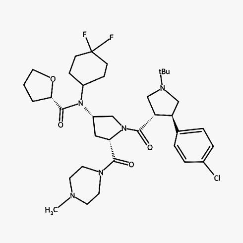 CN1CCN(C(=O)[C@@H]2C[C@H](N(C(=O)[C@@H]3CCCO3)C3CCC(F)(F)CC3)CN2C(=O)[C@@H]2CN(C(C)(C)C)C[C@H]2c2ccc(Cl)cc2)CC1